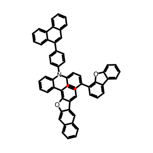 c1ccc(N(c2ccc(-c3cc4ccccc4c4ccccc34)cc2)c2ccc(-c3cccc4c3oc3ccccc34)cc2)c(-c2cccc3c2oc2cc4ccccc4cc23)c1